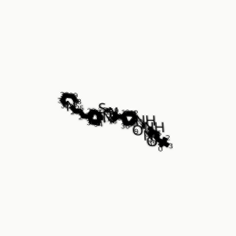 CC(C)(C)c1cc(NC(=O)Nc2ccc(-c3cn4c(n3)sc3cc(CCCN5CCCCC5)ccc34)cc2)no1